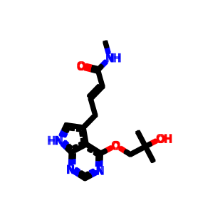 CNC(=O)C=CCc1c[nH]c2ncnc(OCC(C)(C)O)c12